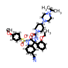 CCOc1ccccc1C1(NC(=O)N2CCC(N3CCN(C(C)C)CC3)CC2)C(=O)N(S(=O)(=O)c2ccc(OC)cc2)c2ccc(C#N)cc21